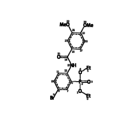 CCOP(=O)(OCC)c1cc(Br)ccc1NC(=O)c1ccc(OC)c(OC)c1